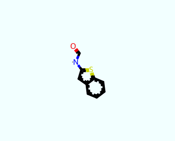 O=C[N]c1cc2ccccc2s1